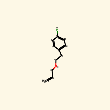 C=CCOCCc1ccc(F)cc1